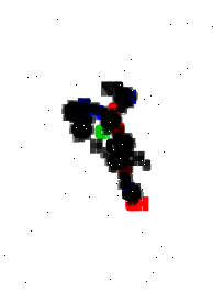 Cc1c(COc2cc(OCc3cncc(C#N)c3)c(CNCc3nc4ccccc4n3Cc3ccccc3)cc2Cl)cccc1-c1cccc(OCCCN2CCC(O)C2)c1C